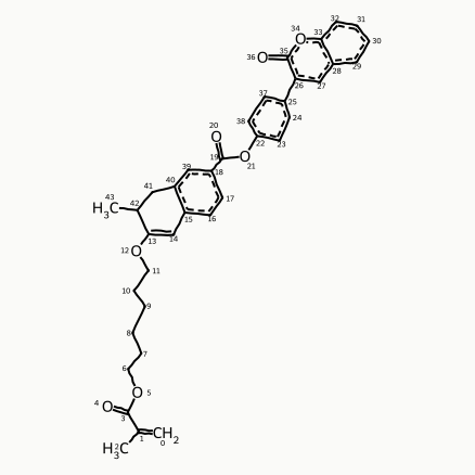 C=C(C)C(=O)OCCCCCCOC1=Cc2ccc(C(=O)Oc3ccc(-c4cc5ccccc5oc4=O)cc3)cc2CC1C